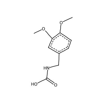 COc1ccc(CNC(=O)O)cc1OC